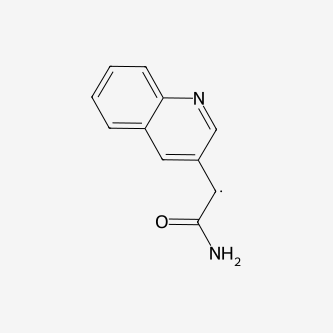 NC(=O)[CH]c1cnc2ccccc2c1